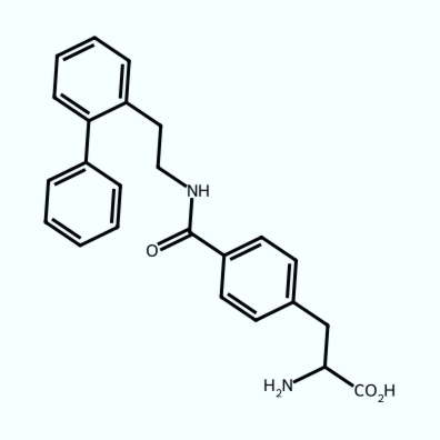 NC(Cc1ccc(C(=O)NCCc2ccccc2-c2ccccc2)cc1)C(=O)O